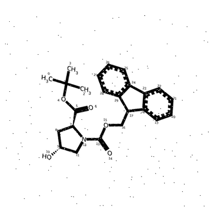 CC(C)(C)OC(=O)[C@@H]1C[C@@H](O)CN1C(=O)OCC1c2ccccc2-c2ccccc21